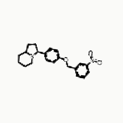 O=[N+]([O-])c1cccc(COc2ccc(C3CCC4CCCCN43)cc2)c1